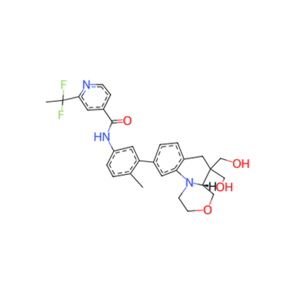 Cc1ccc(NC(=O)c2ccnc(C(C)(F)F)c2)cc1-c1ccc2c(c1)N1CCOC[C@H]1C(CO)(CO)C2